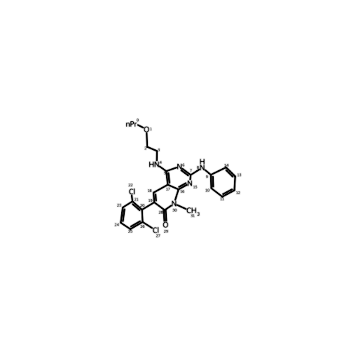 CCCOCCNc1nc(Nc2ccccc2)nc2c1cc(-c1c(Cl)cccc1Cl)c(=O)n2C